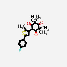 Cc1sc(-c2ccc(F)cc2)cc1C1C(=O)C(C)(C)C(=O)C(C)(C)C1=O